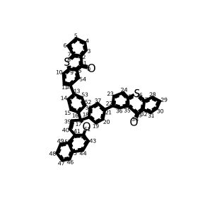 O=c1c2ccccc2sc2ccc(-c3ccc(C4(c5ccc(-c6ccc7sc8ccccc8c(=O)c7c6)cc5)C=Cc5c(ccc6ccccc56)O4)cc3)cc12